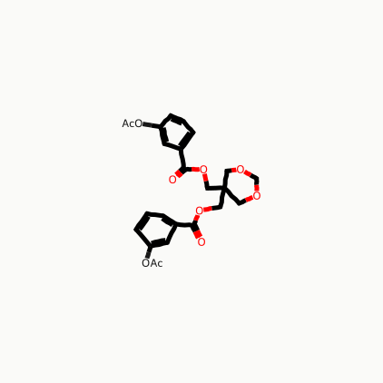 CC(=O)Oc1cccc(C(=O)OCC2(COC(=O)c3cccc(OC(C)=O)c3)COCOC2)c1